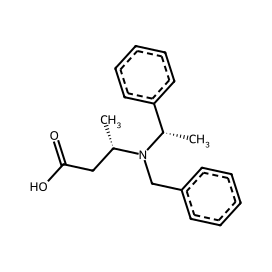 C[C@@H](CC(=O)O)N(Cc1ccccc1)[C@@H](C)c1ccccc1